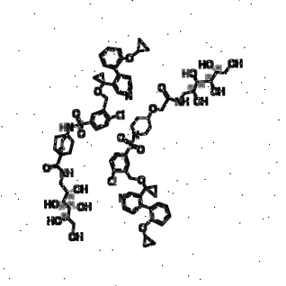 O=C(COC1CCN(S(=O)(=O)c2ccc(Cl)c(COC3(c4cnccc4-c4ccccc4OC4CC4)CC3)c2)CC1)NC[C@H](O)[C@@H](O)[C@H](O)[C@H](O)CO.O=C(NC[C@H](O)[C@@H](O)[C@H](O)[C@H](O)CO)C12CCC(NS(=O)(=O)c3ccc(Cl)c(COC4(c5cnccc5-c5ccccc5OC5CC5)CC4)c3)(CC1)CC2